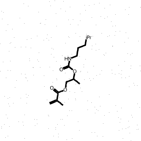 C=C(C)C(=O)OCC(C)OC(=O)NCCCC(C)C